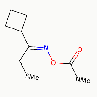 CNC(=O)ON=C(CSC)C1CCC1